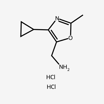 Cc1nc(C2CC2)c(CN)o1.Cl.Cl